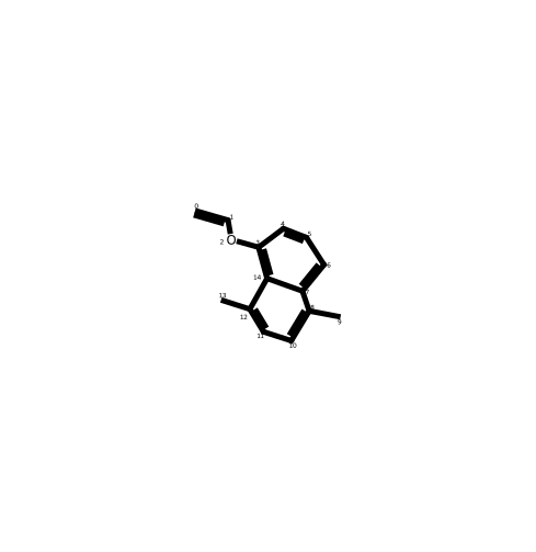 C=COc1cccc2c(C)ccc(C)c12